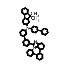 CC1(C)c2ccccc2-c2ccc(N(c3ccc(-c4ccccc4)cc3)c3cccc(-c4cccc(-c5nc6cccc7c6n5-c5ccccc5-c5ccccc5-7)c4)c3)cc21